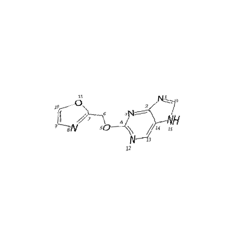 [c]1nc2nc(OCc3ncco3)ncc2[nH]1